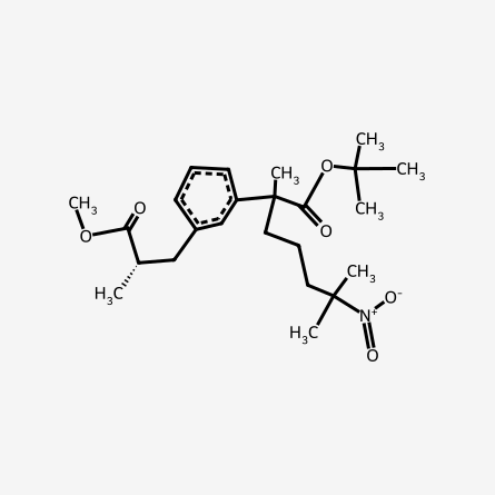 COC(=O)[C@@H](C)Cc1cccc(C(C)(CCCC(C)(C)[N+](=O)[O-])C(=O)OC(C)(C)C)c1